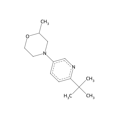 CC1CN(c2ccc(C(C)(C)C)nc2)CCO1